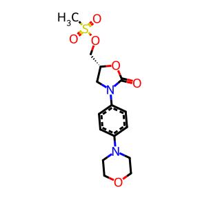 CS(=O)(=O)OC[C@H]1CN(c2ccc(N3CCOCC3)cc2)C(=O)O1